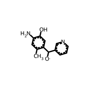 Cc1cc(N)c(O)cc1C([O])c1cccnc1